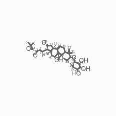 CC1(C)O[C@H]1C(=O)C[C@@H](I)[C@H]1C(=O)C[C@@]2(C)C3=CCC4C(C)(C)[C@@H](O[C@@H]5OC[C@@H](O)C(O)[C@@H]5O)CC[C@@]45C[C@@]35C(O)C[C@]12C